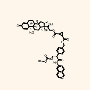 C[C@@H]1C[C@H]2[C@@H]3CCC4=CC(=O)C=C[C@]4(C)[C@@]3(F)[C@@H](O)C[C@]2(C)[C@@]1(O)C(=N)COC(=O)C1CC1C(=O)OCc1ccc([C@@H](CNC(=O)OC(C)(C)C)C(=O)Nc2ccc3cnccc3c2)cc1